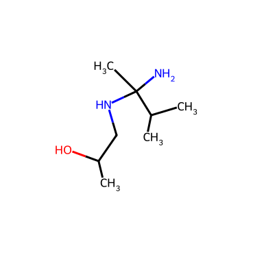 CC(O)CNC(C)(N)C(C)C